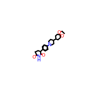 O=C1CCC(c2ccc(N3CCC(C4CCC5(CC4)OCCO5)CC3)cc2)C(=O)N1